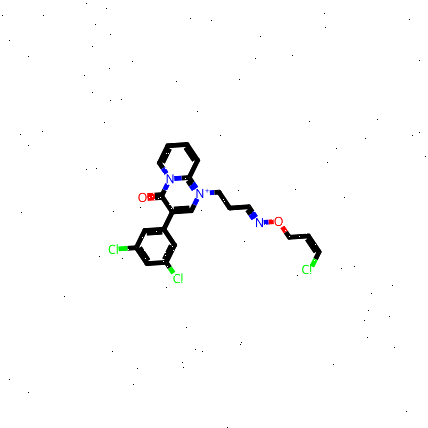 O=c1c(-c2cc(Cl)cc(Cl)c2)c[n+](CCC=NOC/C=C\Cl)c2ccccn12